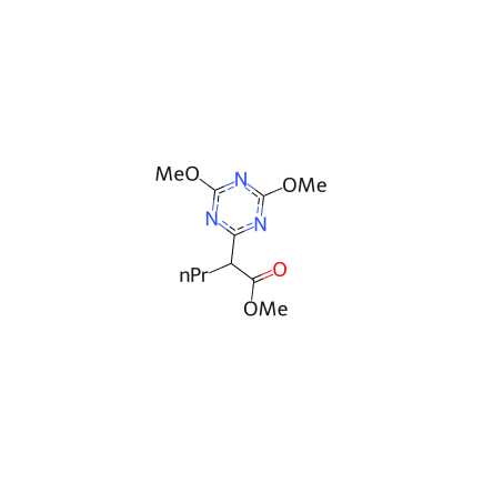 CCCC(C(=O)OC)c1nc(OC)nc(OC)n1